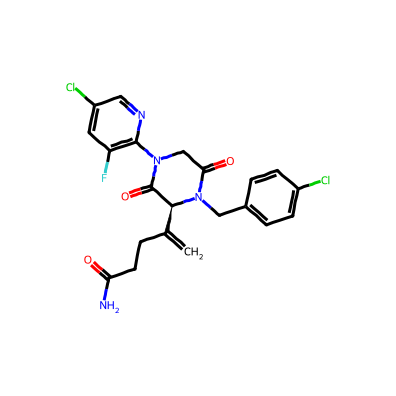 C=C(CCC(N)=O)[C@H]1C(=O)N(c2ncc(Cl)cc2F)CC(=O)N1Cc1ccc(Cl)cc1